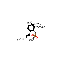 CCCCCCCC=C[C@H]1CCC(C)(C)[C@H](OC)[C@@H]1CS(=O)(=O)OC